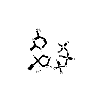 C#CC1(F)[C@@H](O)[C@@H](OP(=O)(O)OP(=O)(O)OP(=O)(O)O)O[C@H]1n1ccc(N)nc1=S